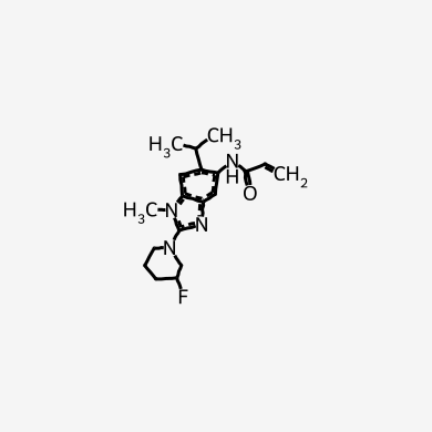 C=CC(=O)Nc1cc2nc(N3CCCC(F)C3)n(C)c2cc1C(C)C